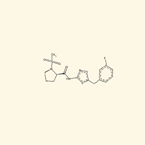 CS(=O)(=O)N1CCC[C@@H]1C(=O)Nc1ncc(Cc2cccc(F)c2)s1